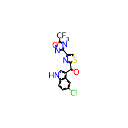 O=C(c1nc(-c2noc(C(F)(F)F)n2)cs1)c1c[nH]c2ccc(Cl)cc12